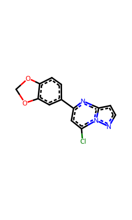 Clc1cc(-c2ccc3c(c2)OCO3)nc2ccnn12